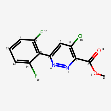 COC(=O)c1nnc(-c2c(F)cccc2F)cc1Cl